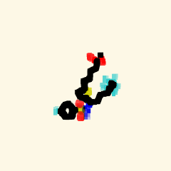 COC(=O)CCCCc1ccc(C(CCCC(F)(F)C(F)(F)F)NS(=O)(=O)c2ccc(F)cc2)s1